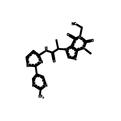 CC(C(=O)Nc1ccnc(-c2cnc(C(F)(F)F)nc2)n1)n1cnc2c1c(=O)n(CC#N)c(=O)n2C